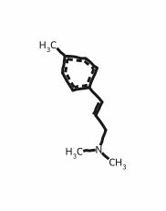 Cc1ccc(C=CCN(C)C)cc1